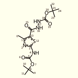 Cc1nc(NC(=O)OC(C)(C)C)sc1C(=O)NNC(=O)OC(C)(C)C